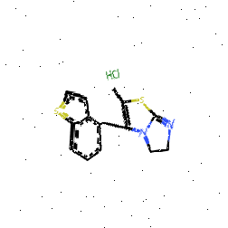 CC1=C(c2cccc3sccc23)N2CCN=C2S1.Cl